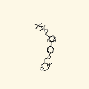 CN1CCOCC1COc1ccc(-c2nccc(CO[Si](C)(C)C(C)(C)C)n2)cc1